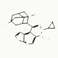 OB1c2cnc3[nH]ccc3c2C(C2[C@@H]3CC4C[C@H]2CC(O)(C4)C3)=NN1C1CC1